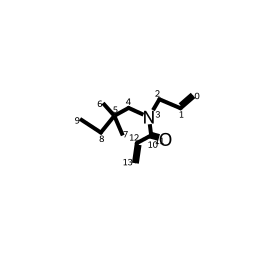 C=CCN(CC(C)(C)CC)C(=O)C=C